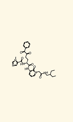 CCC(CC)CNC(=O)Cn1cccc(NC(=O)[C@H](CCC(=O)C(=O)c2ccccc2)NC(=O)c2cncn2C)c1=O